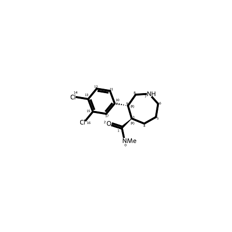 CNC(=O)[C@@H]1CCCNC[C@H]1c1ccc(Cl)c(Cl)c1